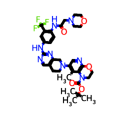 Cc1c(N2CCc3cnc(Nc4ccc(NC(=O)CN5CCOCC5)c(C(F)(F)F)c4)nc3C2)cnc2c1N(C(=O)OC(C)(C)C)CCO2